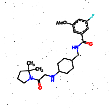 COc1cc(F)cc(C(=O)NCC2CCC(NCC(=O)N3CCCC3(C)C)CC2)c1